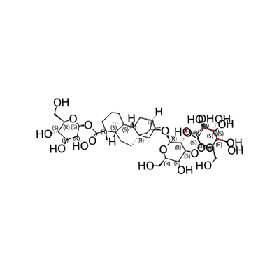 C=C1C[C@@]23CC[C@H]4[C@@](C)(CCC[C@@]4(C)C(=O)O[C@@H]4O[C@H](CO)[C@@H](O)[C@H](O)[C@H]4O)[C@@H]2C[C@@H]1C(O[C@@H]1O[C@H](CO)[C@@H](O)[C@H](O[C@@H]2O[C@H](CO)[C@@H](O)[C@H](O)[C@H]2O)[C@H]1O[C@@H]1O[C@H](CO)[C@@H](O)[C@H](O)[C@H]1O)C3